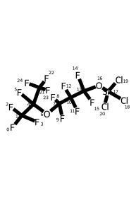 FC(F)(F)C(F)(OC(F)(F)C(F)(F)C(F)(F)O[Si](Cl)(Cl)Cl)C(F)(F)F